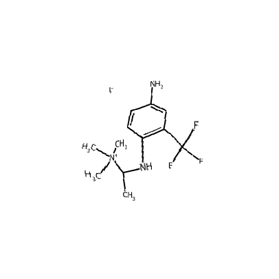 CC(Nc1ccc(N)cc1C(F)(F)F)[N+](C)(C)C.[I-]